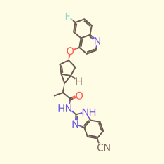 CC(C(=O)Nc1nc2cc(C#N)ccc2[nH]1)[C@H]1C2=C[C@@H](Oc3ccnc4ccc(F)cc34)C[C@@H]21